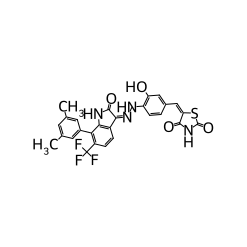 Cc1cc(C)cc(-c2c(C(F)(F)F)ccc3c2NC(=O)C3=NNc2ccc(C=C3SC(=O)NC3=O)cc2O)c1